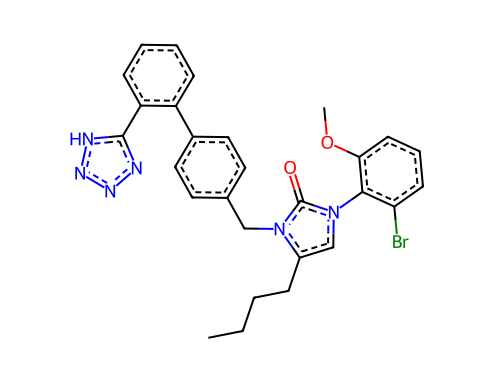 CCCCc1cn(-c2c(Br)cccc2OC)c(=O)n1Cc1ccc(-c2ccccc2-c2nnn[nH]2)cc1